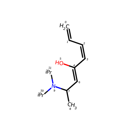 C=C/C=C\C(O)=C\C(C)N(C(C)C)C(C)C